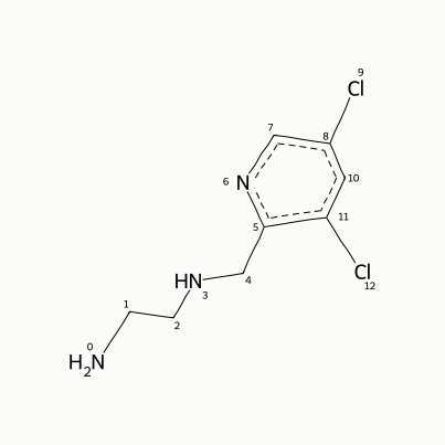 NCCNCc1ncc(Cl)cc1Cl